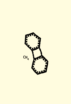 C.c1ccc2c(c1)-c1ccccc1-2